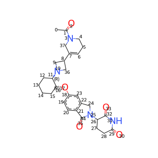 CC(=O)N1CCC=C(C2CN([C@@H]3CCCC[C@H]3Oc3ccc4c(c3)CN(C3CCC(=O)NC3=O)C4=O)C2)C1